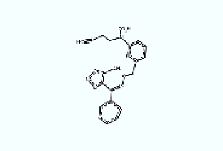 C#CCCN(C(=O)O)c1cccc(CON=C(c2ccccc2)c2nnnn2C)n1